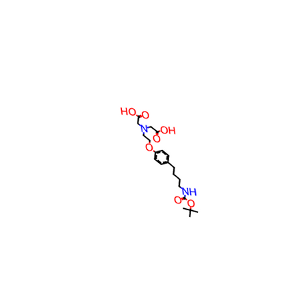 CC(C)(C)OC(=O)NCCCCc1ccc(OCCN(CC(=O)O)CC(=O)O)cc1